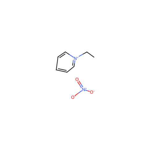 CC[n+]1ccccc1.O=[N+]([O-])[O-]